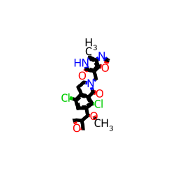 COC(c1cc(Cl)c2c(c1Cl)C(=O)N(Cc1c(=O)[nH]c(C)c3ncoc13)CC2)C1COC1